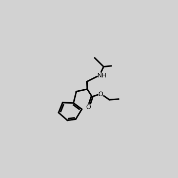 CCOC(=O)C(CNC(C)C)Cc1ccccc1